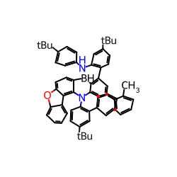 Cc1ccccc1-c1cc(-c2ccc(C(C)(C)C)cc2Nc2ccc(C(C)(C)C)cc2)c2c(c1)N(c1ccc(C(C)(C)C)cc1-c1ccccc1)c1c(ccc3oc4ccccc4c13)B2